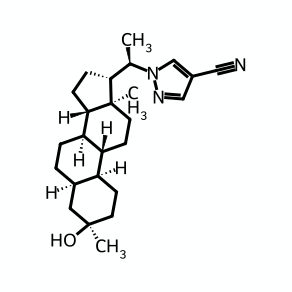 C[C@H]([C@H]1CC[C@H]2[C@@H]3CC[C@@H]4C[C@](C)(O)CC[C@@H]4[C@H]3CC[C@]12C)n1cc(C#N)cn1